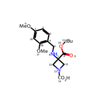 COc1ccc(CNC2(C(=O)OC(C)(C)C)CN(C(=O)O)C2)c(OC)c1